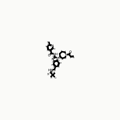 C=CC(=O)N1CCC[C@@H](n2c(NC(=O)c3ccc(C)nc3)nc3cc(CN[C@@H](C)C(C)(C)C)ccc32)CC1